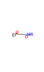 CCC(=O)CCCCCCCCC(=O)NCCCI